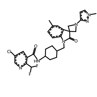 Cc1ccc2c(c1)C1(CN(c3ccn(C)n3)C1)C(=O)N2CC1CCC(NC(=O)c2cc(Cl)cnc2C(F)F)CC1